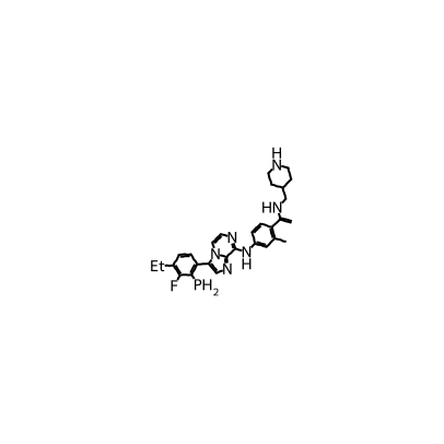 C=C(NCC1CCNCC1)c1ccc(Nc2nccn3c(-c4ccc(CC)c(F)c4P)cnc23)cc1C